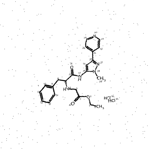 CCOC(=O)CNC(Cc1ccccc1)C(=O)Nc1cc(-c2ccncc2)nn1C.Cl.Cl